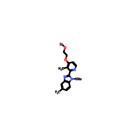 CCOCCOc1ccnc(-c2nc3cc(C(F)(F)F)ccc3n2SC)c1C